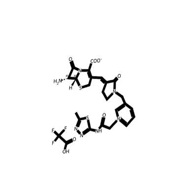 Cc1nnc(NC(=O)C[n+]2cccc(CN3CCC(=CC4=C(C(=O)[O-])N5C(=O)[C@@H](N)[C@H]5SC4)C3=O)c2)s1.O=C(O)C(F)(F)F